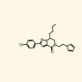 CCCCC1CN(CCn2cccc2)C(=O)c2cc(-c3ccc(Cl)cc3)nn21